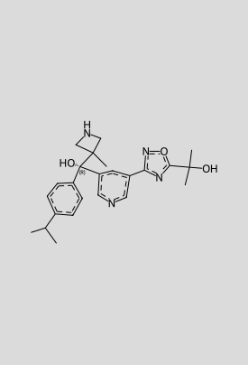 CC(C)c1ccc([C@](O)(c2cncc(-c3noc(C(C)(C)O)n3)c2)C2(C)CNC2)cc1